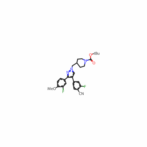 COc1ccc(-c2nn(CC3CCN(C(=O)OC(C)(C)C)CC3)cc2-c2ccc(C#N)c(F)c2)cc1F